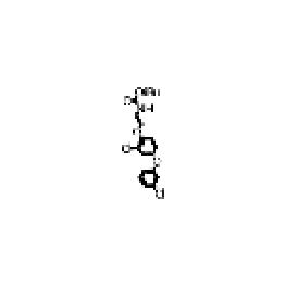 CC(C)COC(=O)NCCOc1ccc(Oc2cccc(Cl)c2)cc1Cl